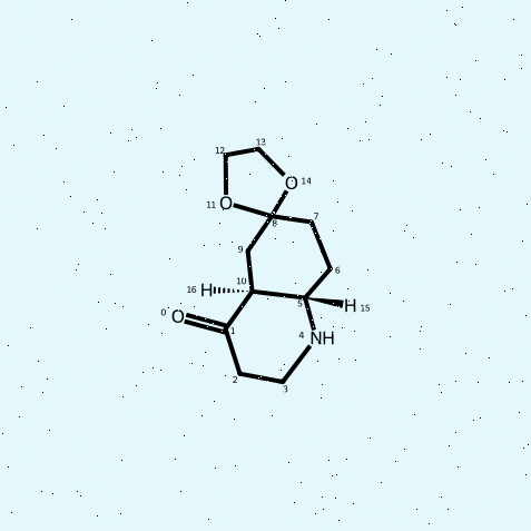 O=C1CCN[C@H]2CCC3(C[C@H]12)OCCO3